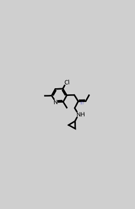 C/C=C(/CNC1CC1)Cc1c(Cl)cc(C)nc1C